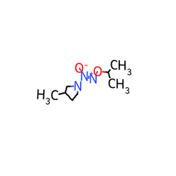 CC1CCN(/[N+]([O-])=N/OC(C)C)C1